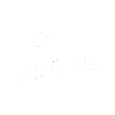 OB(O)c1ccc(-c2ccc(OCc3ccccc3)nc2OCc2ccccc2)cc1